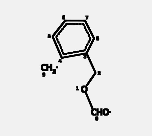 O=[C]OCc1ccccc1.[CH3]